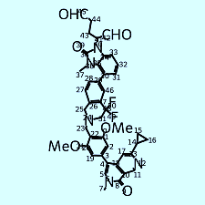 COc1cc(-c2cn(C)c(=O)c3cnc(C4CC4)cc23)cc(OC)c1CN1Cc2ccc(-c3cccc4c3n(C)c(=O)n4C(C=O)CCC=O)cc2C(F)(F)C1